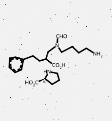 NCCCCN(C=O)CC(CCc1ccccc1)C(=O)O.O=C(O)[C@@H]1CCCN1